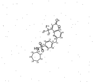 O=c1cc(C(F)(F)F)c2cc(Cc3ccc(S(=O)(=O)NC4CCCCCC4)cc3)ccc2o1